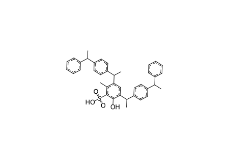 Cc1c(C(C)c2ccc(C(C)c3ccccc3)cc2)cc(C(C)c2ccc(C(C)c3ccccc3)cc2)c(O)c1S(=O)(=O)O